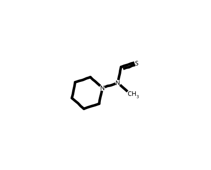 CN(C=S)N1CCCCC1